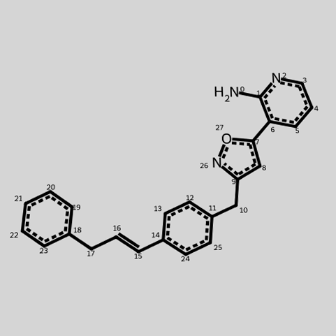 Nc1ncccc1-c1cc(Cc2ccc(C=CCc3ccccc3)cc2)no1